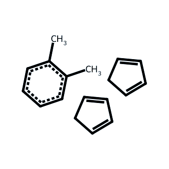 C1=CCC=C1.C1=CCC=C1.Cc1ccccc1C